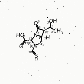 CC(O)[C@@H]1C(=O)N2[C@@H]1S[C@@H](C=S)[C@H]2C(=O)O